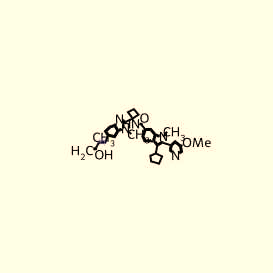 C=C(O)/C(C)=C/c1ccc2nc(C3(NC(=O)c4ccc5c(C6CCCC6)c(-c6cncc(OC)c6)n(C)c5c4)CCC3)n(C)c2c1